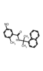 Cc1ccc(N=O)cc1C(=O)NC(C)(C)c1cccc2ccccc12